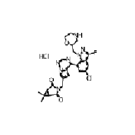 CC1(C)C2C(=O)N(Cc3cc4c(-c5cc(Cl)cc6c(F)nn(CC7CNCCO7)c56)ncnn4c3)C(=O)C21.Cl